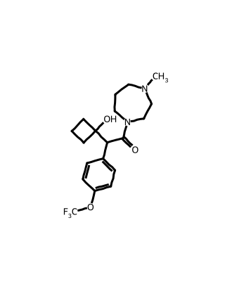 CN1CCCN(C(=O)C(c2ccc(OC(F)(F)F)cc2)C2(O)CCC2)CC1